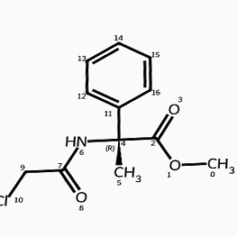 COC(=O)[C@](C)(NC(=O)CCl)c1ccccc1